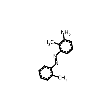 Cc1ccccc1/N=N/c1cccc(N)c1C